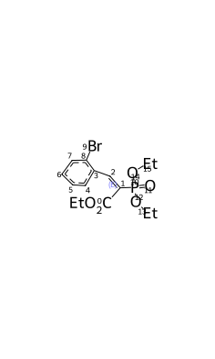 CCOC(=O)/C(=C\c1ccccc1Br)P(=O)(OCC)OCC